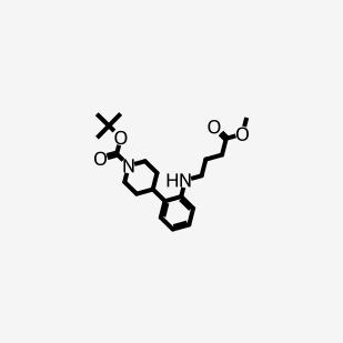 COC(=O)CCCNc1ccccc1C1CCN(C(=O)OC(C)(C)C)CC1